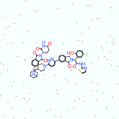 O=C1CCC(N2C(=O)c3ccc(N4CC5CC(C4)N5CC4CCN(c5ccc(-c6ccc7c(c6)C(=O)N(C(C(=O)Nc6nccs6)c6cc(F)ccc6O)C7)nn5)CC4)cc3C2=O)C(=O)N1